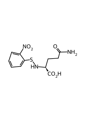 NC(=O)CC[C@H](NSc1ccccc1[N+](=O)[O-])C(=O)O